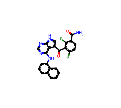 NC(=O)c1ccc(F)c(C(=O)c2c[nH]c3ncnc(Nc4cccc5ccccc45)c23)c1F